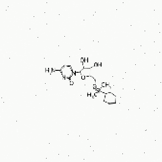 C[Si](C)(OCC1OC(n2ccc(N)nc2=O)C(O)C1O)C1CCCCC1